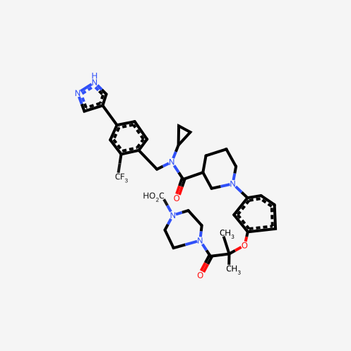 CC(C)(Oc1cccc(N2CCCC(C(=O)N(Cc3ccc(-c4cn[nH]c4)cc3C(F)(F)F)C3CC3)C2)c1)C(=O)N1CCN(C(=O)O)CC1